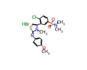 Br.COc1ccc(N=c2scc(-c3cc(S(=O)(=O)N(C)C)ccc3Cl)n2C)cc1